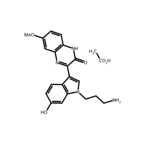 CC(=O)O.COc1ccc2[nH]c(=O)c(-c3cn(CCCN)c4cc(O)ccc34)nc2c1